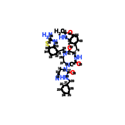 C=C1Nc2cc(C[C@@H]3NC(=O)CN(N(CC#N)C(=O)NCc4ccccc4)CCN(Cc4cccc5sc(N)nc45)C3=O)ccc2O1